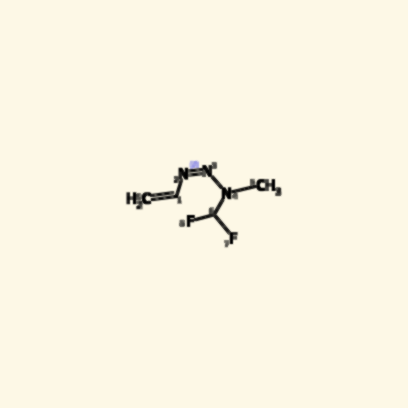 C=C/N=N\N(C)C(F)F